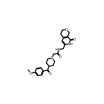 COc1ccc(C(=O)C2CCN(CC(=O)NCc3cc4c(c(=O)[nH]3)COCC4)CC2)cc1